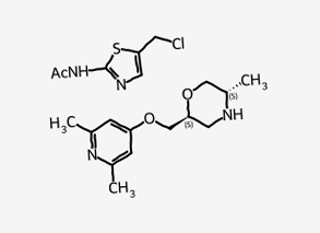 CC(=O)Nc1ncc(CCl)s1.Cc1cc(OC[C@@H]2CN[C@@H](C)CO2)cc(C)n1